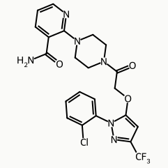 NC(=O)c1cccnc1N1CCN(C(=O)COc2cc(C(F)(F)F)nn2-c2ccccc2Cl)CC1